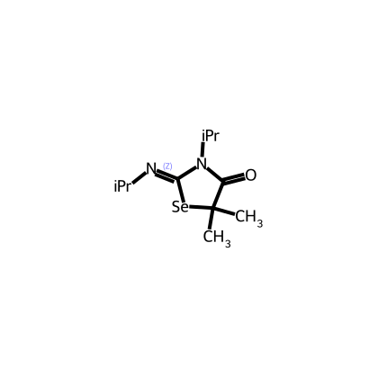 CC(C)/N=C1\[Se]C(C)(C)C(=O)N1C(C)C